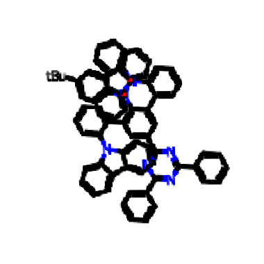 CC(C)(C)c1ccc2c(c1)c1ccccc1n2-c1c(-c2ccccc2-n2c3ccccc3c3ccccc32)cc(-c2nc(-c3ccccc3)nc(-c3ccccc3)n2)cc1-c1ccccc1-n1c2ccccc2c2ccccc21